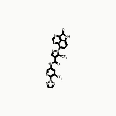 O=C(Nc1cnc(-n2nccn2)c(C(F)(F)F)c1)c1cnn(-c2ccc3c4c(ncnc24)C(=O)N3)c1C(F)(F)F